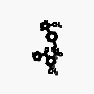 Cc1ncsc1-c1ccc(CNC(=O)[C@@H]2C[C@@H](C)CN2C(=O)c2ccsc2)cc1